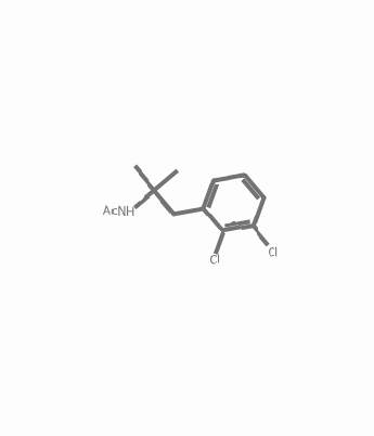 CC(=O)NC(C)(C)Cc1cccc(Cl)c1Cl